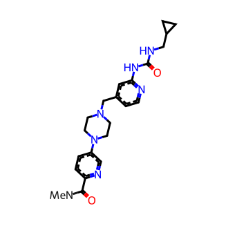 CNC(=O)c1ccc(N2CCN(Cc3ccnc(NC(=O)NCC4CC4)c3)CC2)cn1